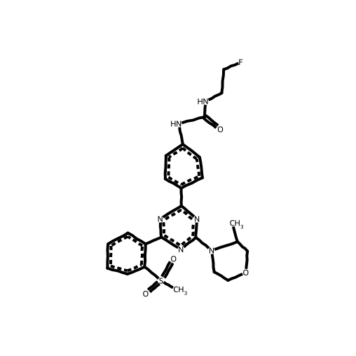 CC1COCCN1c1nc(-c2ccc(NC(=O)NCCF)cc2)nc(-c2ccccc2S(C)(=O)=O)n1